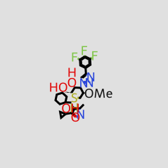 CO[C@H]1C[SH]([C@H](c2c(C)noc2C2CC2)C2(O)CCCCC2)[C@H](CO)[C@H](O)[C@@H]1n1cc(-c2cc(F)c(F)c(F)c2)nn1